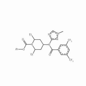 CCC1CC(N(C(=O)c2cc(C(F)(F)F)cc(C(F)(F)F)c2)c2ncn(C)n2)CC(CC)N1C(=O)OC(C)C